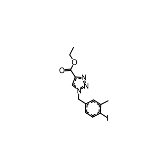 CCOC(=O)c1cn(Cc2ccc(I)c(C)c2)nn1